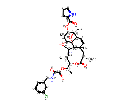 CO[C@H]1C[C@H]2C=CC3C4[C@H](O)[C@@H](C)[C@@H](OC(=O)c5ccc[nH]5)[C@@H]3O[C@]42/C(C)=C/[C@@H](C)[C@@H]([C@@H](C)OC(=O)C(=O)NCc2cccc(Cl)c2)OC1=O